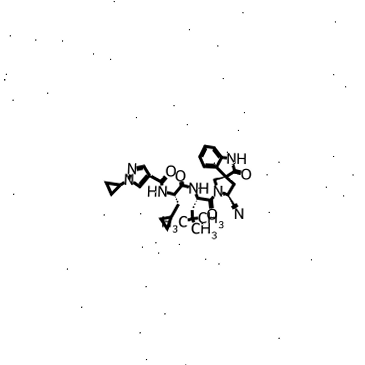 CC(C)(C)C[C@H](NC(=O)[C@H](CC1CC1)NC(=O)c1cnn(C2CC2)c1)C(=O)N1C[C@]2(C[C@H]1C#N)C(=O)Nc1ccccc12